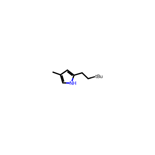 Cc1c[nH]c(CCC(C)(C)C)c1